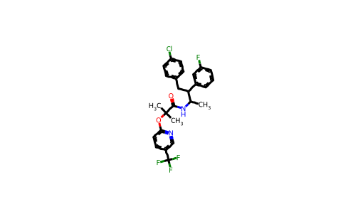 CC(NC(=O)C(C)(C)Oc1ccc(C(F)(F)F)cn1)C(Cc1ccc(Cl)cc1)c1cccc(F)c1